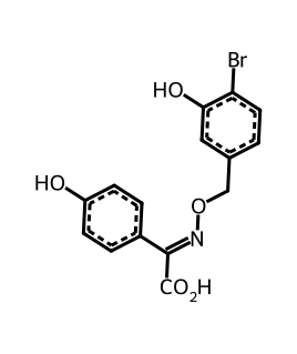 O=C(O)C(=NOCc1ccc(Br)c(O)c1)c1ccc(O)cc1